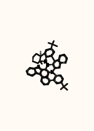 CC(C)(C)c1ccc(N2c3cc4ccccc4c4c3B(c3c2ccc2c3sc3ccccc32)N2c3c-4cc(C(C)(C)C)cc3C3(C)CCCCC23C)c(-c2ccccc2)c1